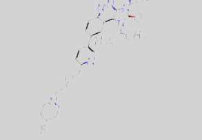 CC(C)n1c(=O)n(C)c2nnc3ccc(-c4ccc(COCCN5CCC(F)CC5)nc4)cc3c21